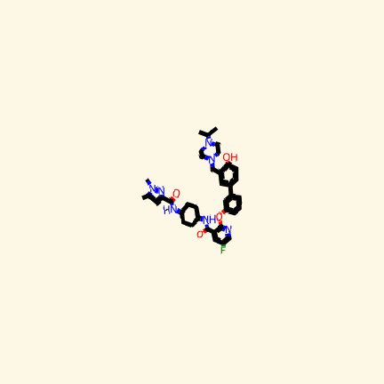 Cc1cc(C(=O)NC2CCC(NC(=O)c3cc(F)cnc3Oc3cccc(-c4ccc(O)c(CN5CCN(C(C)C)CC5)c4)c3)CC2)nn1C